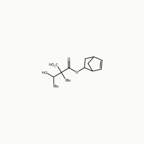 CC(C)(C)C(O)C(C(=O)O)(C(=O)OC1CC2C=CC1C2)C(C)(C)C